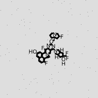 C#Cc1c(F)ccc2cc(O)cc(-c3ncc4c(N5C[C@@H]6CC(O)(C(F)F)C[C@@H]6C5)nc(OC[C@@]56CCCN5C[C@H](F)C6)nc4c3F)c12